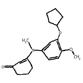 COc1ccc(N(C)C2=CC(=O)CCC2)cc1OC1CCCC1